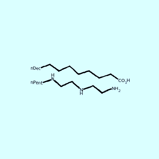 CCCCCCCCCCCCCCCCCC(=O)O.CCCCCNCCNCCN